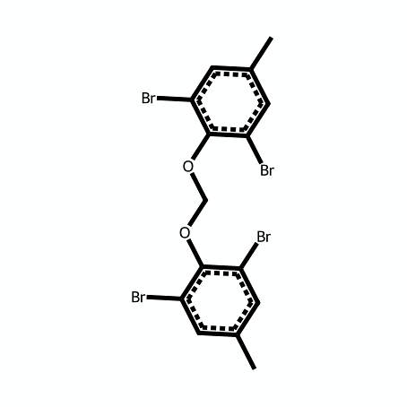 Cc1cc(Br)c(OCOc2c(Br)cc(C)cc2Br)c(Br)c1